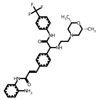 C[C@@H]1CN(CCNC(C(=O)Nc2ccc(C(F)(F)F)cc2)c2ccc(C=CC(=O)Nc3ccccc3N)cc2)C[C@H](C)O1